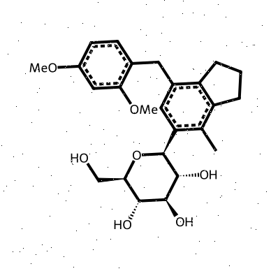 COc1ccc(Cc2cc([C@@H]3O[C@H](CO)[C@@H](O)[C@H](O)[C@H]3O)c(C)c3c2CCC3)c(OC)c1